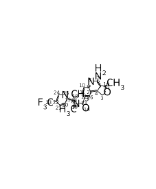 C[C@H]1OCc2c1c(N)nc1ccc(C(=O)N(C)[C@@H](C)c3ccc(C(F)(F)F)cn3)cc21